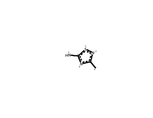 Cc1nsc([NH])n1